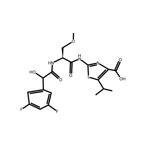 COC[C@H](NC(=O)C(O)c1cc(F)cc(F)c1)C(=O)Nc1nc(C(=O)O)c(C(C)C)s1